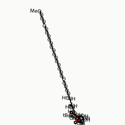 COCCOCCOCCOCCOCCOCCOCCOCCOCCOCCOCCOCCOCCOCCOCCOCCOCCOCCOCCOCCOCCOCCOCCOCC[C@@H](O)NCCCCC(N[C@@H](O)CSC[C@@H](O)O[C@@H]([C@@H](O)O[C@H]1C[C@@]2(O)[C@@H](OC(=O)c3ccccc3)[C@@H]3[C@]4(O[C@@H](C)O)CO[C@@H]4C[C@H](O)[C@@]3(C)[C@H](O)[C@H](O)[C@H](C1C)C2(C)C)[C@@H](N[C@H](O)OC(C)(C)C)c1ccccc1)[C@@H](C)O